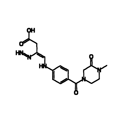 CN1CCN(C(=O)c2ccc(N/C=C(/CC(=O)O)N=N)cc2)CC1=O